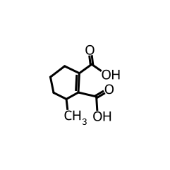 CC1CCCC(C(=O)O)=C1C(=O)O